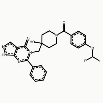 O=C(c1ccc(OC(F)F)cc1)N1CCC(O)(Cn2c(-c3ccccc3)nc3[nH]ncc3c2=O)CC1